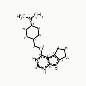 CN(C)C1CCC(COc2ncnc3sc4c(c23)CCC4)CC1